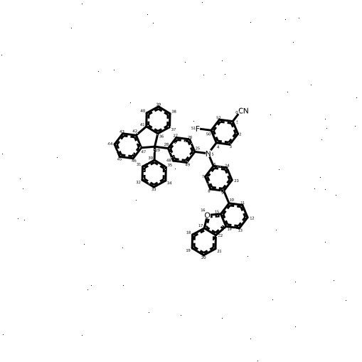 N#Cc1ccc(N(c2ccc(-c3cccc4c3oc3ccccc34)cc2)c2ccc(C3(c4ccccc4)c4ccccc4-c4ccccc43)cc2)c(F)c1